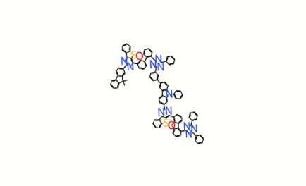 CC1(C)c2ccccc2-c2ccc(-c3nc(-c4cccc5c4oc4cccc(-c6nc(-c7ccccc7)nc(-c7cccc(-c8ccc9c(c8)c8ccc(-c%10nc(-c%11cccc%12c%11oc%11cccc(-c%13nc(-c%14ccccc%14)nc(-c%14ccccc%14)n%13)c%11%12)c%11sc%12ccccc%12c%11n%10)cc8n9-c8ccccc8)c7)n6)c45)c4sc5ccccc5c4n3)cc21